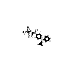 CN(C(=O)OC(C)(C)C)[C@H]1CC[C@H](N(c2ccccc2)C2CC2)CC1